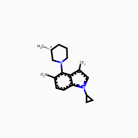 [CH2][C@@H]1CCCN(c2c([N+](=O)[O-])ccc3c2c(C(F)(F)F)cn3C2CC2)C1